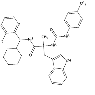 CC(Cc1c[nH]c2ccccc12)(NC(=O)Nc1ccc(C(F)(F)F)cc1)C(=O)NC(c1ncccc1I)C1CCCCC1